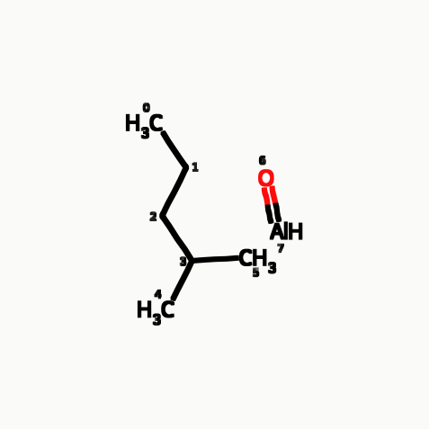 CCCC(C)C.[O]=[AlH]